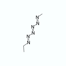 CCN=NN=NN=NC